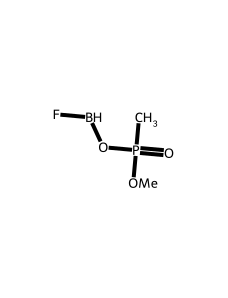 COP(C)(=O)OBF